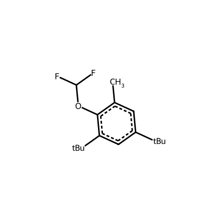 Cc1cc(C(C)(C)C)cc(C(C)(C)C)c1OC(F)F